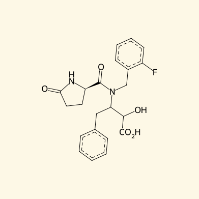 O=C1CC[C@H](C(=O)N(Cc2ccccc2F)C(Cc2ccccc2)C(O)C(=O)O)N1